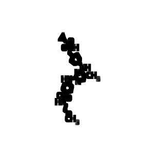 COCCNS(=O)(=O)c1ccc(Nc2ncc(C)c(Nc3ccc(CNS(=O)(=O)C4CC4)cc3)n2)cc1